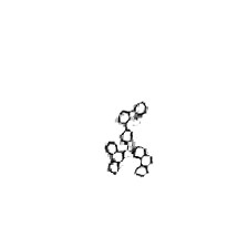 c1ccc2c(c1)ccc1ccc(N(c3ccc(-c4cccc5c4sc4ccccc45)cc3)c3cc4ccccc4c4ccccc34)cc12